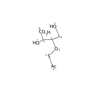 CC(=O)SOC(CO)C(O)C(=O)O